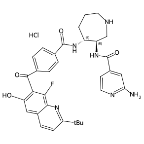 CC(C)(C)c1ccc2cc(O)c(C(=O)c3ccc(C(=O)N[C@@H]4CCCNC[C@H]4NC(=O)c4ccnc(N)c4)cc3)c(F)c2n1.Cl